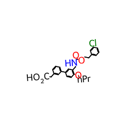 CCCOc1ccc(-c2cccc(CC(=O)O)c2)cc1CNC(=O)OCCc1cccc(Cl)c1